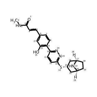 CNC(=O)/C=C/c1ccc(-c2ccc(S[C@@H]3C[C@H]4CC[C@@H](C3)N4)nn2)c(O)c1